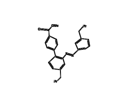 COC(=O)c1ccc(-c2ccc(CC(C)C)cc2/N=N/c2cccc(CC(C)C)c2)cc1